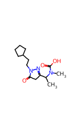 CC(C1=NN(CCC2CCCC2)C(=O)C1)N(C)C(=O)O